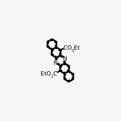 CCOC(=O)c1c2ccccc2cc2nc3c(C(=O)OCC)c4ccccc4cc3nc12